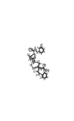 Cc1cccc(CN(C)C(=O)c2sc(N3CCC(N4CCc5ccccc5NC4=O)CC3)nc2C)c1